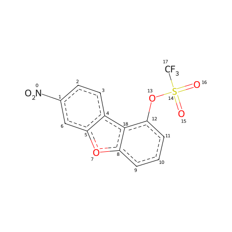 O=[N+]([O-])c1ccc2c(c1)oc1cccc(OS(=O)(=O)C(F)(F)F)c12